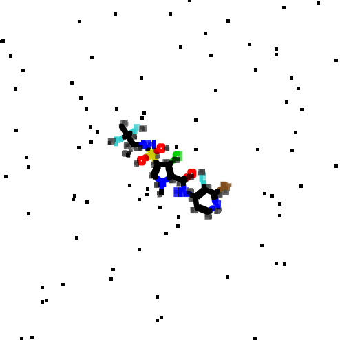 C[C@@H](NS(=O)(=O)c1cn(C)c(C(=O)Nc2ccnc(Br)c2F)c1Cl)C(C)(F)F